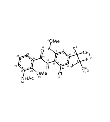 COCc1cc(C(F)(C(F)(F)F)C(F)(F)C(F)(F)F)cc(Cl)c1NC(=O)c1cccc(NC(C)=O)c1OC